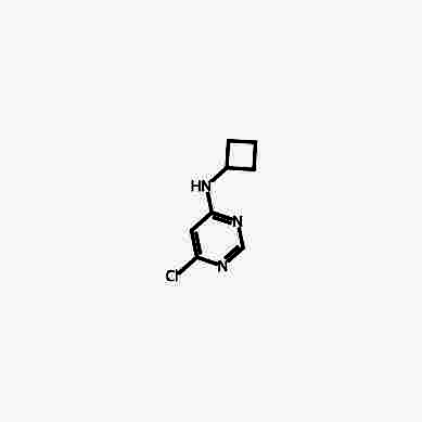 Clc1cc(NC2CCC2)ncn1